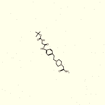 CC(C)(C)OC(=O)NCC(=O)Nc1ccc(CCN2CCN(CC(N)=O)CC2)cc1